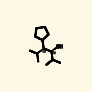 CC(C)[C@@H](O)[C@H](C(C)C)N1CCCC1